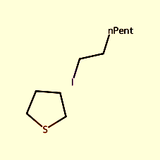 C1CCSC1.CCCCCCCI